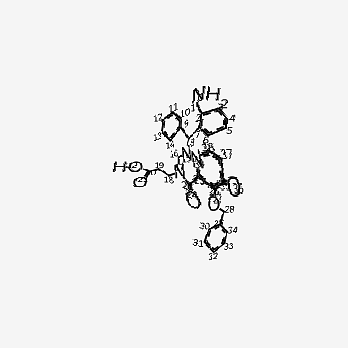 NCc1ccccc1C(c1ccccc1)N1CN(CCC(=O)O)C(=O)c2c(OCc3ccccc3)c(=O)ccn21